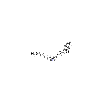 CCCCCCCC/C=C\CCCCCCCC(=O)c1ccccn1